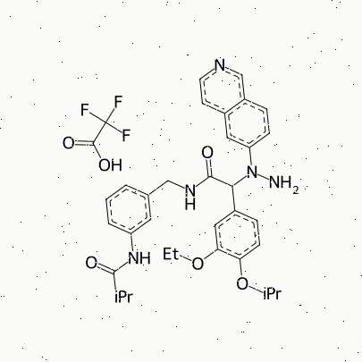 CCOc1cc(C(C(=O)NCc2cccc(NC(=O)C(C)C)c2)N(N)c2ccc3cnccc3c2)ccc1OC(C)C.O=C(O)C(F)(F)F